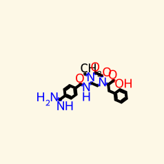 CCN1C(=O)C(=O)N(C(Cc2ccccc2)C(=O)O)CC1NC(=O)c1ccc(C(=N)N)cc1